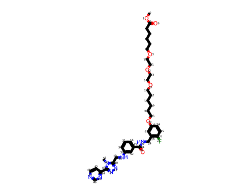 COC(=O)CCCCCOCCOCCOCCCCCCOc1ccc(F)c(CNC(=O)c2cccc(NCc3nnc(-c4ccncn4)n3C)c2)c1